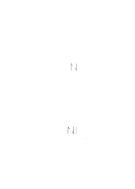 C=Cc1c(N)cccc1/N=C\C